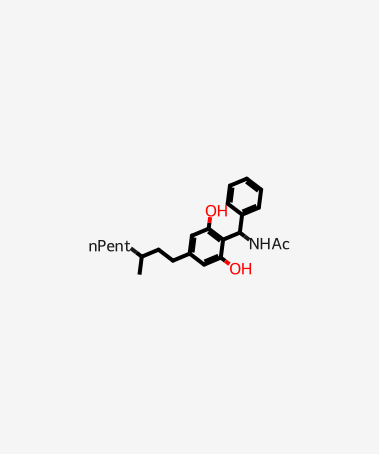 CCCCCC(C)CCc1cc(O)c(C(NC(C)=O)c2ccccc2)c(O)c1